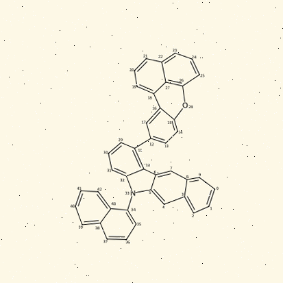 c1ccc2cc3c(cc2c1)c1c(-c2ccc4c(c2)-c2cccc5cccc(c25)O4)cccc1n3-c1cccc2ccccc12